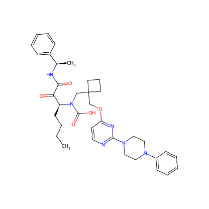 CCCC[C@@H](C(=O)C(=O)N[C@H](C)c1ccccc1)N(CC1(COc2ccnc(N3CCN(c4ccccc4)CC3)n2)CCC1)C(=O)O